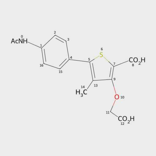 CC(=O)Nc1ccc(-c2sc(C(=O)O)c(OCC(=O)O)c2C)cc1